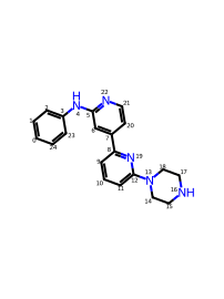 c1ccc(Nc2cc(-c3cccc(N4CCNCC4)n3)ccn2)cc1